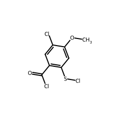 COc1cc(SCl)c(C(=O)Cl)cc1Cl